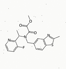 COC(=O)C(=O)N(Cc1ccc2sc(C)nc2c1)C(C)c1ncccc1F